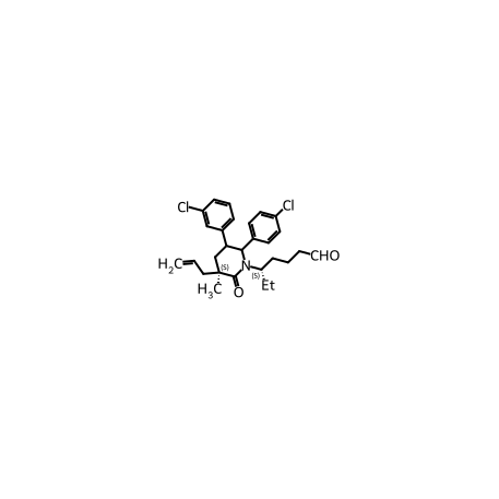 C=CC[C@@]1(C)CC(c2cccc(Cl)c2)C(c2ccc(Cl)cc2)N([C@@H](CC)CCCC=O)C1=O